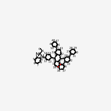 CCc1nc2ccccc2n1-c1ccc(-c2c3ccccc3c(-c3cc(-c4ccccc4)ccc3-c3ccccc3)c3ccc(-c4ccccc4)cc23)cc1